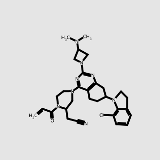 C=CC(=O)N1CCN(c2nc(N3CC(N(C)C)C3)nc3c2CCC(N2CCc4cccc(Cl)c42)C3)CC1CC#N